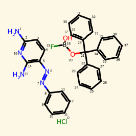 Cl.Nc1ccc(/N=N/c2ccccc2)c(N)n1.OB(F)OC(c1ccccc1)(c1ccccc1)c1ccccc1